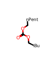 CCCCCCOC(=O)OCC(C)CC